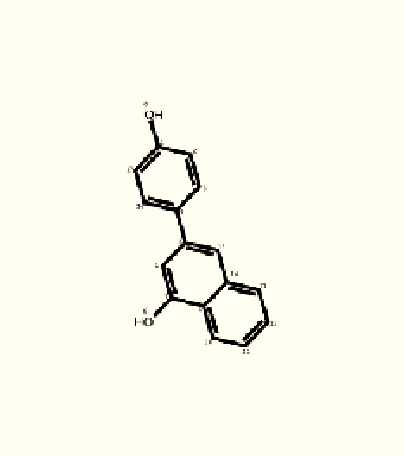 Oc1ccc(-c2cc(O)c3ccccc3c2)cc1